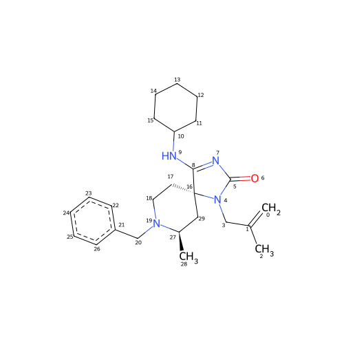 C=C(C)CN1C(=O)N=C(NC2CCCCC2)[C@@]12CCN(Cc1ccccc1)[C@H](C)C2